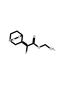 CCOC(=O)C(F)=C1CN2CCC1CC2